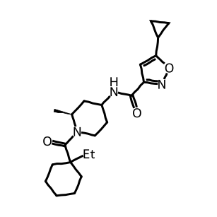 CCC1(C(=O)N2CCC(NC(=O)c3cc(C4CC4)on3)C[C@@H]2C)CCCCC1